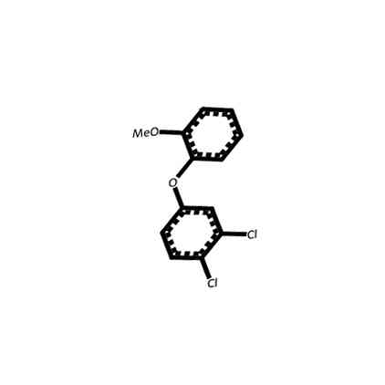 COc1[c]cccc1Oc1ccc(Cl)c(Cl)c1